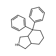 c1ccc(C2(c3ccccc3)CCCC3CNCC32)cc1